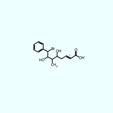 CC(C(O)C/C=C/C(=O)O)C(O)C(Br)c1ccccc1